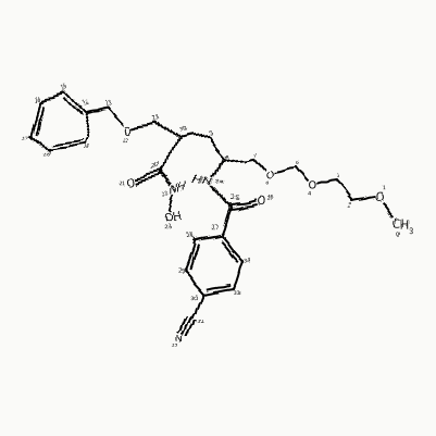 COCCOCOCC(CC(COCc1ccccc1)C(=O)NO)NC(=O)c1ccc(C#N)cc1